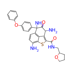 Nc1ccc2c3c(c(C(=O)NCC4CCCO4)sc13)C(N)C(=O)C2(N)c1ccc(Oc2ccccc2)cc1